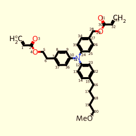 C=CC(=O)OCCc1ccc(N(c2ccc(CCCCCOC)cc2)c2ccc(COC(=O)C=C)cc2)cc1